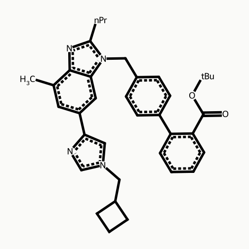 CCCc1nc2c(C)cc(-c3cn(CC4CCC4)cn3)cc2n1Cc1ccc(-c2ccccc2C(=O)OC(C)(C)C)cc1